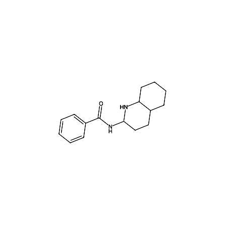 O=C(NC1CCC2CCCCC2N1)c1ccccc1